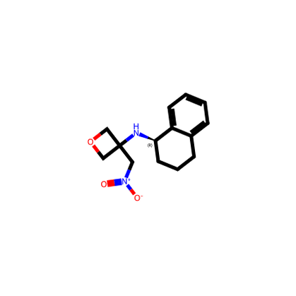 O=[N+]([O-])CC1(N[C@@H]2CCCc3ccccc32)COC1